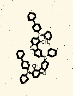 Cc1c(N(c2ccccc2)c2ccc(-c3ccccc3)cc2)ccc2oc3ccc(N(c4ccccc4)c4ccc5sc6ccc(N(c7ccccc7)c7ccc(-c8ccccc8)cc7)c(C)c6c5c4)cc3c12